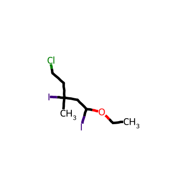 CCOC(I)CC(C)(I)CCCl